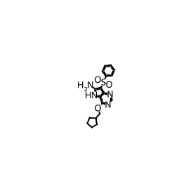 Nc1[nH]c2c(OCC3CCCC3)ncnc2c1S(=O)(=O)c1ccccc1